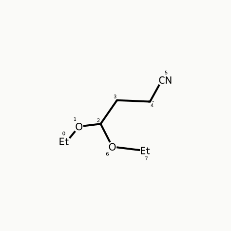 CCOC(C[CH]C#N)OCC